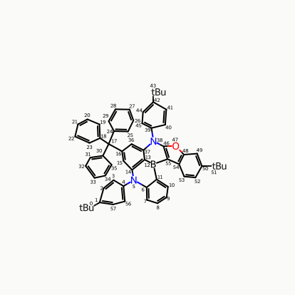 CC(C)(C)c1ccc(N2c3ccccc3B3c4c2cc(C(c2ccccc2)(c2ccccc2)c2ccccc2)cc4N(c2ccc(C(C)(C)C)cc2)c2oc4cc(C(C)(C)C)ccc4c23)cc1